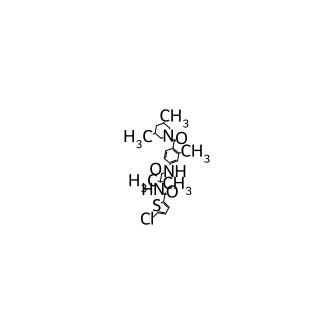 Cc1cc(NC(=O)C(C)(C)NC(=O)c2ccc(Cl)s2)ccc1C(=O)N1CC(C)CC(C)C1